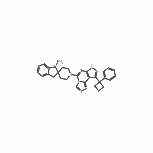 N[C@@H]1c2ccccc2CC12CCN(c1nc3[nH]nc(C4(c5ccccc5)CCC4)c3c3nncn13)CC2